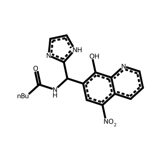 CCCCC(=O)NC(c1ncc[nH]1)c1cc([N+](=O)[O-])c2cccnc2c1O